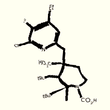 CCc1cc(C[C@]2(C(=O)O)CCN(C(=O)O)[C@@](C)(C(C)(C)C)C2C(C)(C)C)nc(Cl)c1F